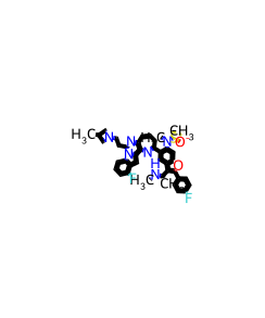 C=C(NC)c1c(-c2ccc(F)cc2)oc2cc(N(C)[S+](C)[O-])c(C3=Nc4c(nc(CCN5CC(C)C5)n5c4cc4c(F)cccc45)C=CC3)cc12